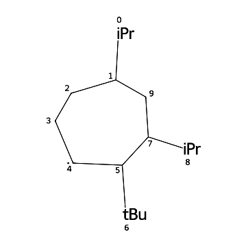 CC(C)C1CC[CH]C(C(C)(C)C)C(C(C)C)C1